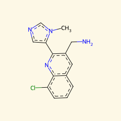 Cn1cncc1-c1nc2c(Cl)cccc2cc1CN